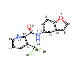 O=C(Nc1ccc2occc2c1)c1ncccc1C(F)(F)F